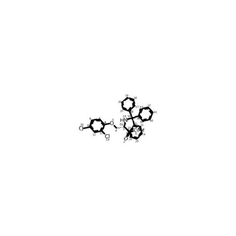 COC(=O)[C@H](COc1ccc(Cl)cc1Cl)NC(c1ccccc1)(c1ccccc1)c1ccccc1